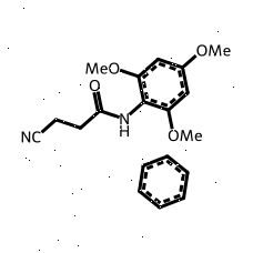 COc1cc(OC)c(NC(=O)CCC#N)c(OC)c1.c1ccccc1